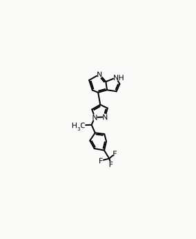 CC(c1ccc(C(F)(F)F)cc1)n1cc(-c2ccnc3[nH]ccc23)cn1